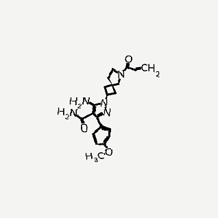 C=CC(=O)N1CC[C@]2(C1)C[C@H](n1nc(-c3ccc(OC)cc3)c(C(N)=O)c1N)C2